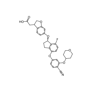 N#Cc1ccc(Oc2ccc(F)c3c2CC[C@H]3Oc2ccc3c(c2)OCC3CC(=O)O)cc1OC1CCOCC1